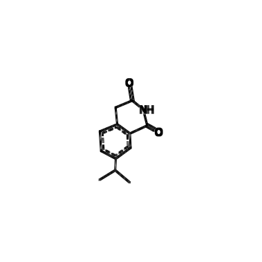 CC(C)c1ccc2c(c1)C(=O)NC(=O)C2